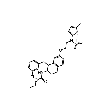 CCOC(=O)NC1CCc2ccc(OCCN(c3ccc(C)s3)[SH](=O)=O)cc2C1Cc1cccc(Cl)c1